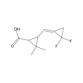 CC1(C)C(C=C2CC2(F)F)C1C(=O)O